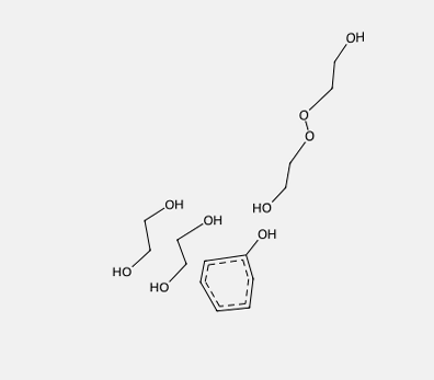 OCCO.OCCO.OCCOOCCO.Oc1ccccc1